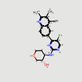 Cc1nc2ccc(-c3nc(N[C@@H]4CCOC[C@H]4O)ncc3F)cc2c(C(C)C)c1C